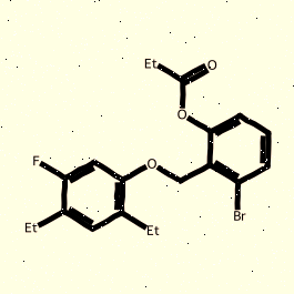 CCC(=O)Oc1cccc(Br)c1COc1cc(F)c(CC)cc1CC